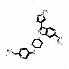 CNc1cc2c(cn1)c(-c1cnn(C)c1)nn2[C@H]1CC[C@@H](Oc2ccc(OC)nc2)CC1